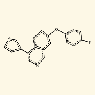 Fc1ccc(Oc2ccc3c(-c4ccsc4)nncc3c2)cc1